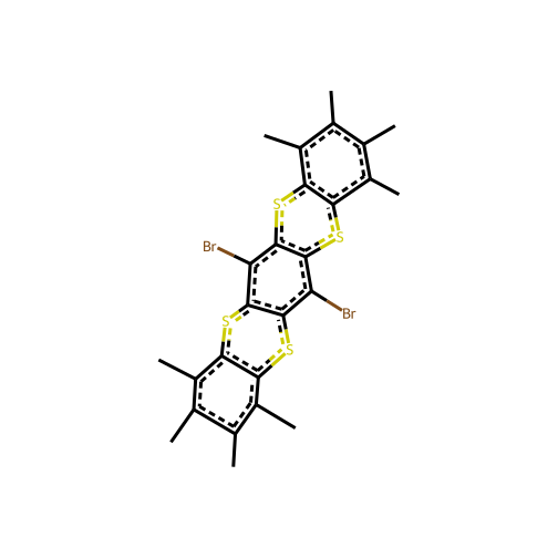 Cc1c(C)c(C)c2sc3c(Br)c4sc5c(C)c(C)c(C)c(C)c5sc4c(Br)c3sc2c1C